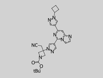 CC(C)(C)OC(=O)N1CC(CC#N)(n2cc(-c3nc(-c4cnn(C5CCC5)c4)cc4nccn34)cn2)C1